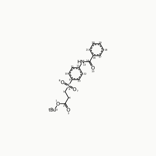 CC(C)(C)OC(=O)CCS(=O)(=O)c1ccc(NC(=O)c2ccccc2)cc1